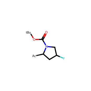 CC(=O)C1CC(F)CN1C(=O)OC(C)(C)C